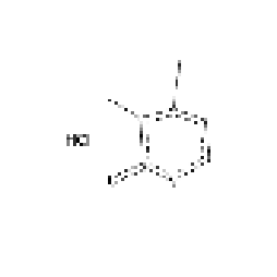 Cc1ccn(C)c(=O)c1C.Cl